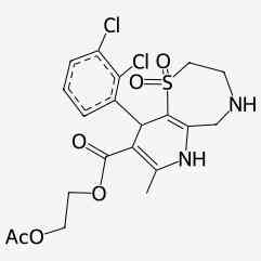 CC(=O)OCCOC(=O)C1=C(C)NC2=C(C1c1cccc(Cl)c1Cl)S(=O)(=O)CCNC2